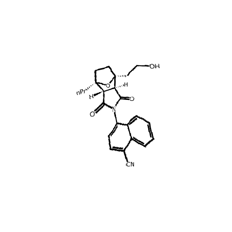 CCC[C@]12CC[C@](CCO)(O1)[C@H]1C(=O)N(c3ccc(C#N)c4ccccc34)C(=O)[C@@H]12